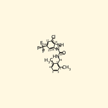 Cc1cccc(C)c1CNC(=O)n1[nH]c2c(Cl)cc(C(F)(F)F)cc21